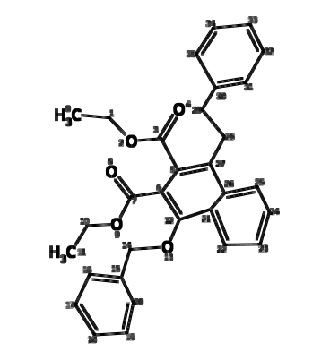 CCOC(=O)c1c(C(=O)OCC)c(OCc2ccccc2)c2ccccc2c1CCc1ccccc1